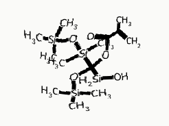 C=C(C)C(=O)OC(O[Si](C)(C)C)([SiH2]O)[Si](C)(C)O[Si](C)(C)C